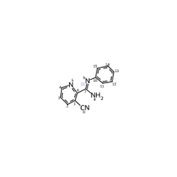 N#Cc1cccnc1/C(N)=N/c1ccccc1